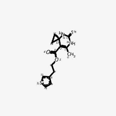 CC1=C(C(=O)OCCc2ccsc2)C2(CC2)NC(=S)N1